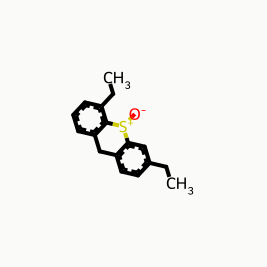 CCc1ccc2c(c1)[S+]([O-])c1c(CC)cccc1C2